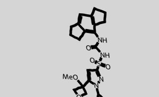 COC1(c2cc(S(=O)(=O)NC(=O)Nc3c4c(cc5c3CCC5)CCC4)nn2C2CC2)COC1